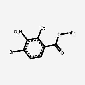 CCCOC(=O)c1ccc(Br)c([N+](=O)[O-])c1CC